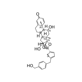 C[C@]12C=CC(=O)C=C1CC[C@@H]1[C@@H]2[C@@H](O)C[C@@]2(C)[C@H]1C[C@H]1O[C@@H](c3ccc(Cc4ccc(CO)cc4)s3)O[C@]12C(=O)CO